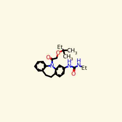 CCNC(=O)Nc1ccc2c(c1)N(C(=O)COC(C)(C)CC)c1ccccc1CC2